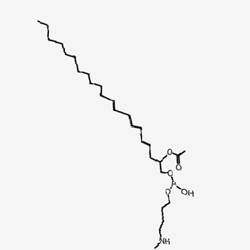 CCCCCCCCCCCCCCCCCCCC(COP(O)OCCCCNC)OC(C)=O